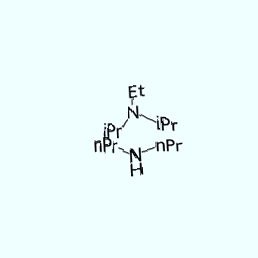 CCCNCCC.CCN(C(C)C)C(C)C